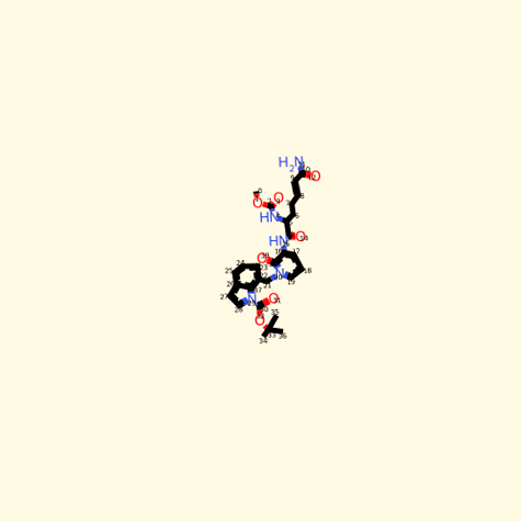 COC(=O)NC(CCC=CC(N)=O)C(=O)Nc1cccn(Cc2cccc3ccn(C(=O)OC(C)(C)C)c23)c1=O